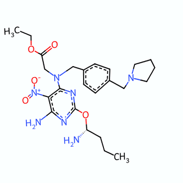 CCC[C@H](N)Oc1nc(N)c([N+](=O)[O-])c(N(CC(=O)OCC)Cc2ccc(CN3CCCC3)cc2)n1